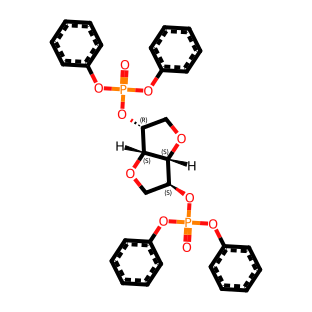 O=P(Oc1ccccc1)(Oc1ccccc1)O[C@H]1CO[C@H]2[C@@H]1OC[C@H]2OP(=O)(Oc1ccccc1)Oc1ccccc1